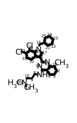 Cc1cccc2c(NCCCN(C)C)nc(-c3cn(Cc4ccccc4)c4c(Cl)c(Cl)ccc34)nc12